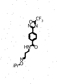 CC(C)ON=CCCNC(=O)c1ccc(-c2noc(C(F)(F)F)n2)cc1